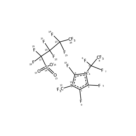 Fc1c(F)[n+](C(F)(F)C(F)(F)F)c(F)n1C(F)(F)F.O=S(=O)([O-])C(F)(F)C(F)(F)C(F)(F)C(F)(F)F